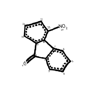 O=C1c2ccccc2-c2c1cccc2[N+](=O)[O-]